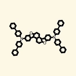 c1ccc(-c2ccc(N(c3ccc(-c4ccccc4)cc3)c3ccc4c(c3)oc3ccc5c(ccc6oc7cc(N(c8ccc(-c9ccccc9)cc8)c8ccc(-c9ccccc9)cc8)ccc7c65)c34)cc2)cc1